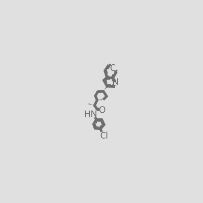 C[C@@H](C(=O)Nc1ccc(Cl)cc1)[C@H]1CC[C@@H](c2cnc3ccccc3c2)CC1